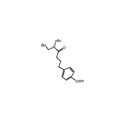 CCCCN(CC(C)CC)C(=O)CCCc1ccc(OC)cc1